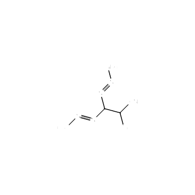 CCCCN=NC(N=NCCCC)C(C#N)CC